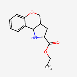 CCOC(=O)C1CC2COc3ccccc3C2N1